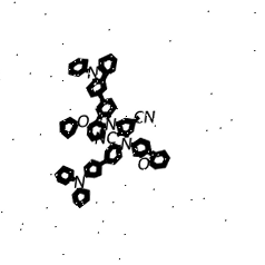 N#Cc1cc(N(c2ccc(-c3ccc(N(c4ccccc4)c4ccccc4)cc3)cc2)c2ccc3c(c2)oc2ccccc23)c(C#N)c(-n2c3ccc(-c4ccc5c(c4)c4ccccc4n5-c4ccccc4)cc3c3c(Oc4ccccc4)cccc32)c1